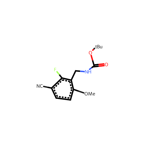 COc1ccc(C#N)c(F)c1CNC(=O)OC(C)(C)C